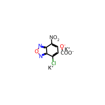 O=C([O-])[O-].O=[N+]([O-])c1ccc(Cl)c2nonc12.[K+].[K+]